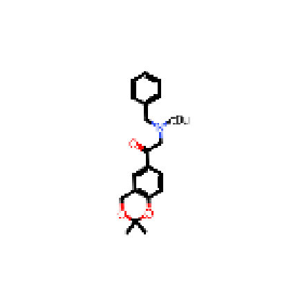 CC1(C)OCc2cc(C(=O)CN(Cc3ccccc3)C(C)(C)C)ccc2O1